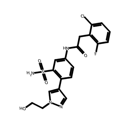 NS(=O)(=O)c1cc(NC(=O)Cc2c(F)cccc2Cl)ccc1-c1cnn(CCO)c1